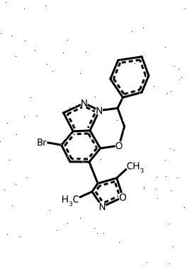 Cc1noc(C)c1-c1cc(Br)c2cnn3c2c1OCC3c1ccccc1